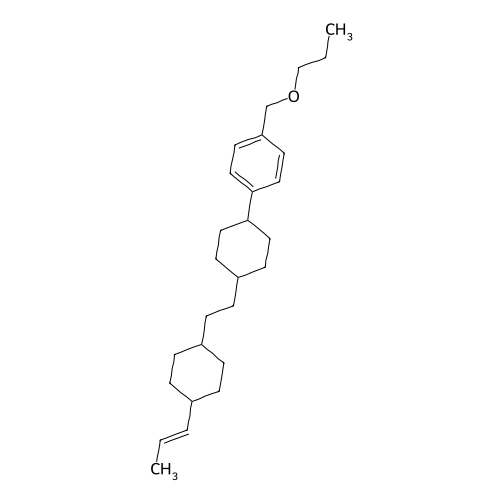 C/C=C/C1CCC(CCC2CCC(c3ccc(COCCC)cc3)CC2)CC1